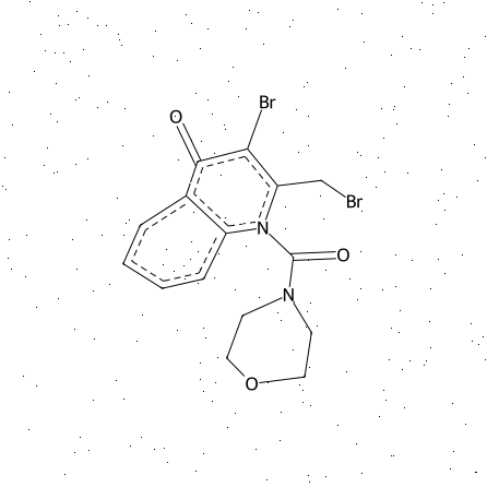 O=C(N1CCOCC1)n1c(CBr)c(Br)c(=O)c2ccccc21